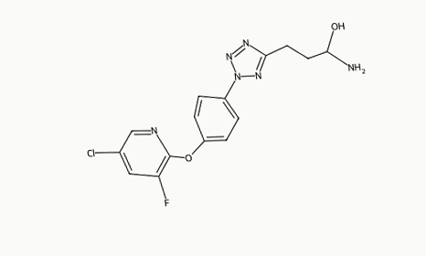 NC(O)CCc1nnn(-c2ccc(Oc3ncc(Cl)cc3F)cc2)n1